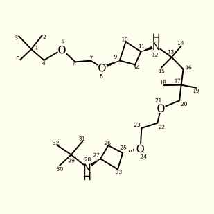 CC(C)(C)COCCO[C@H]1C[C@@H](NC(C)(C)CC(C)(C)COCCO[C@H]2C[C@H](NC(C)(C)C)C2)C1